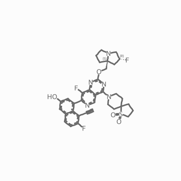 C#Cc1c(F)ccc2cc(O)cc(-c3ncc4c(N5CCC6(CCCS6(=O)=O)CC5)nc(OC[C@@]56CCCN5C[C@H](F)C6)nc4c3F)c12